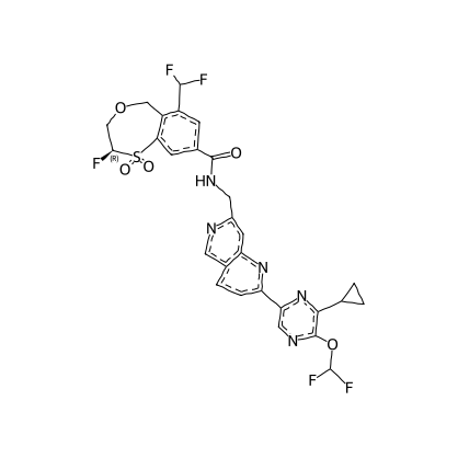 O=C(NCc1cc2nc(-c3cnc(OC(F)F)c(C4CC4)n3)ccc2cn1)c1cc(C(F)F)c2c(c1)S(=O)(=O)[C@@H](F)COC2